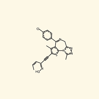 C/C=C\C(C#Cc1sc2c(c1C)C(c1ccc(Cl)cc1)=NCc1nnc(C)n1-2)=N/O